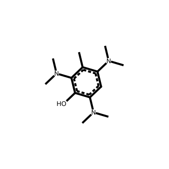 Cc1c(N(C)C)cc(N(C)C)c(O)c1N(C)C